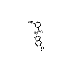 COc1ccc2nc(NC(=O)c3cccc([18F])c3)sc2c1